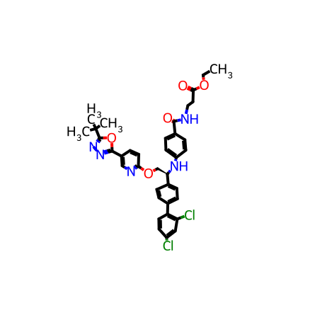 CCOC(=O)CCNC(=O)c1ccc(N[C@H](COc2ccc(-c3nnc(C(C)(C)C)o3)cn2)c2ccc(-c3ccc(Cl)cc3Cl)cc2)cc1